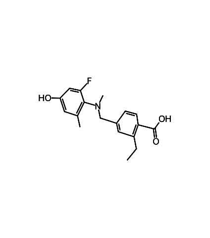 CCc1cc(CN(C)c2c(C)cc(O)cc2F)ccc1C(=O)O